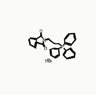 Br.O=C1c2ccccc2C(=O)N1CCC[P](c1ccccc1)(c1ccccc1)c1ccccc1